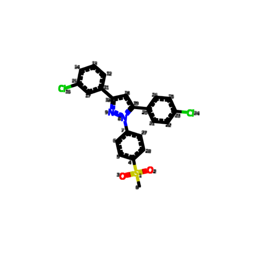 CS(=O)(=O)c1ccc(-n2nc(-c3cccc(Cl)c3)cc2-c2ccc(Cl)cc2)cc1